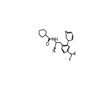 N#CC(Cc1ccc(C(F)F)cc1C1C=CC=NC1)NC(=O)C1CCCCC1